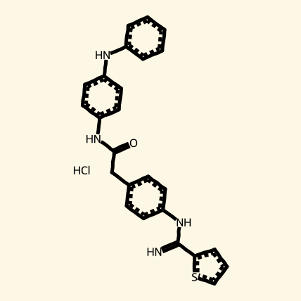 Cl.N=C(Nc1ccc(CC(=O)Nc2ccc(Nc3ccccc3)cc2)cc1)c1cccs1